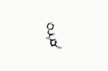 CC(C)(C)c1ccc(NC(=O)CN2CCOCC2)nc1